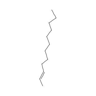 CC=CCCCCCCCCC